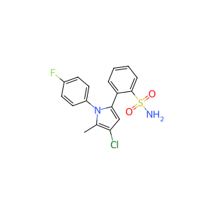 Cc1c(Cl)cc(-c2ccccc2S(N)(=O)=O)n1-c1ccc(F)cc1